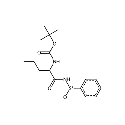 CCCC(NC(=O)OC(C)(C)C)C(=O)N[S+]([O-])c1ccccc1